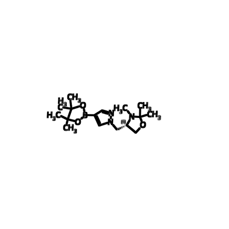 CN1[C@@H](Cn2cc(B3OC(C)(C)C(C)(C)O3)cn2)COC1(C)C